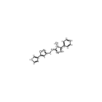 CCn1c(SCc2cc(-c3ccsc3)on2)nnc1-c1ccncc1